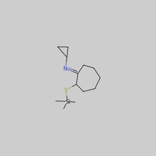 C[Si](C)(C)SC1CCCCCC1=NC1CC1